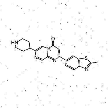 Cc1nc2ccc(-c3cc(=O)n4cc(C5CCNCC5)ncc4n3)cc2s1